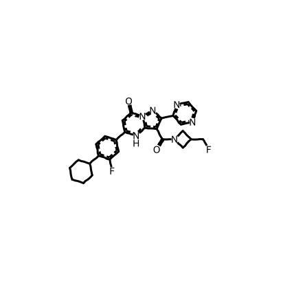 O=C(c1c(-c2cnccn2)nn2c(=O)cc(-c3ccc(C4CCCCC4)c(F)c3)[nH]c12)N1CC(CF)C1